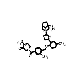 Cc1ccc(OCc2ccc(C(=O)N3CCN(C)C(=O)C3)cc2C)c(-c2csc(N3CC4CC[C@H](C3)[C@@H]4C(=O)O)n2)c1